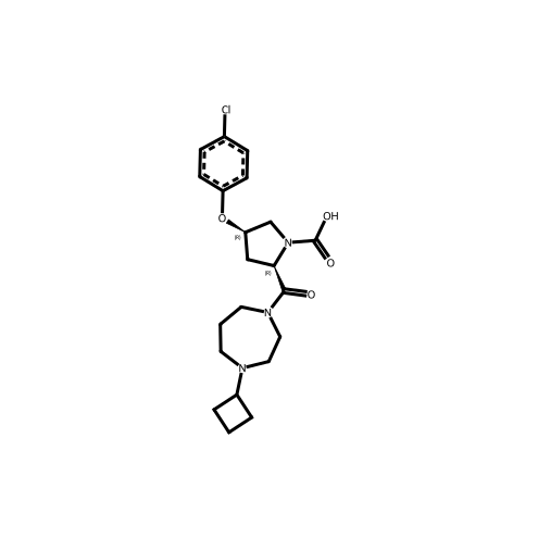 O=C([C@H]1C[C@@H](Oc2ccc(Cl)cc2)CN1C(=O)O)N1CCCN(C2CCC2)CC1